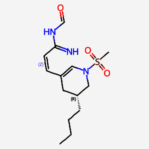 CCCC[C@@H]1CC(/C=C\C(=N)NC=O)=CN(S(C)(=O)=O)C1